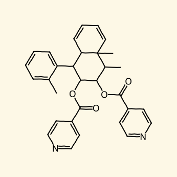 Cc1ccccc1C1C(OC(=O)c2ccncc2)C(OC(=O)c2ccncc2)C(C)C2(C)C=CC=CC12